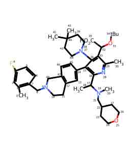 Cc1cc(F)ccc1CN1CCc2cc(-c3c(C(C)N(C)CC4CCOCC4)nc(C)c(C(OC(C)(C)C)C(=O)O)c3N3CCC(C)(C)CC3)ccc2C1